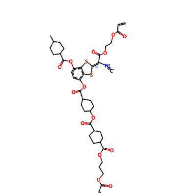 [C-]#[N+]/C(C(=O)OCCOC(=O)C=C)=C1/Sc2c(OC(=O)C3CCC(C)CC3)ccc(OC(=O)C3CCC(OC(=O)C4CCC(C(=O)OCCCOC(=O)C=C)CC4)CC3)c2S1